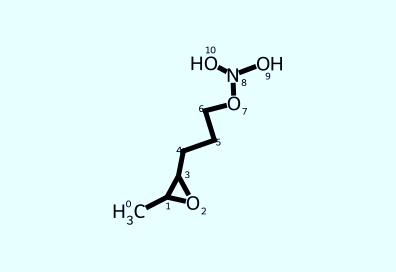 CC1OC1CCCON(O)O